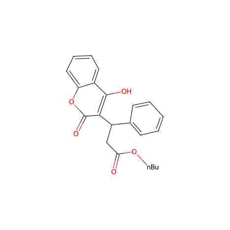 CCCCOC(=O)CC(c1ccccc1)c1c(O)c2ccccc2oc1=O